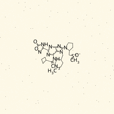 CC1CCC(Cn2c(N3CCCC3C[S+](C)[O-])nc3nc(-c4noc(=O)[nH]4)nc(N[C@H](C)C4CCC4)c32)CC1